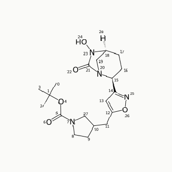 CC(C)(C)OC(=O)N1CCC(Cc2cc([C@@H]3CC[C@H]4CN3C(=O)N4O)no2)C1